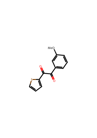 COc1cccc(C(=O)C(=O)c2cccs2)c1